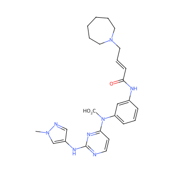 Cn1cc(Nc2nccc(N(C(=O)O)c3cccc(NC(=O)/C=C/CN4CCCCCC4)c3)n2)cn1